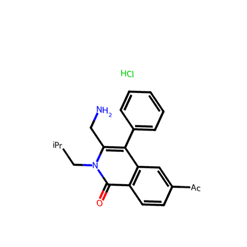 CC(=O)c1ccc2c(=O)n(CC(C)C)c(CN)c(-c3ccccc3)c2c1.Cl